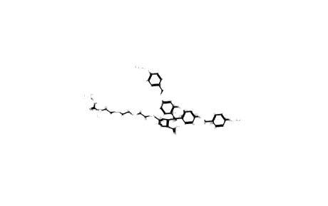 COc1ccc(COc2ccc3c(c2)Oc2cc(OCc4ccc(OC)cc4)ccc2C32OC(=O)c3ccc(OCCOCCOCCNC(=O)OC(C)(C)C)cc32)cc1